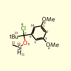 COc1cc(OC)cc(C(Cl)(O[SiH](C)C)C(C)(C)C)c1